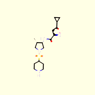 C[C@@H]1CN(S(=O)(=O)C2CCNCC2)C[C@@H]1NC(=O)c1cc(C2CC2)on1